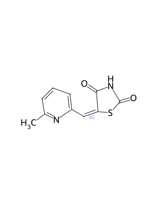 Cc1cccc(/C=C2/SC(=O)NC2=O)n1